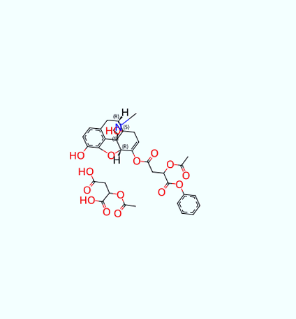 CC(=O)OC(CC(=O)O)C(=O)O.CC(=O)OC(CC(=O)OC1=CC[C@@]2(O)[C@H]3Cc4ccc(O)c5c4[C@@]2(CCN3C)[C@H]1O5)C(=O)Oc1ccccc1